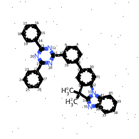 CC1(C)c2cc(-c3cccc(-c4nc(-c5ccccc5)nc(-c5ccccc5)n4)c3)ccc2-n2c1nc1ccccc12